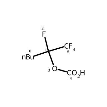 CCCCC(F)(OC(=O)O)C(F)(F)F